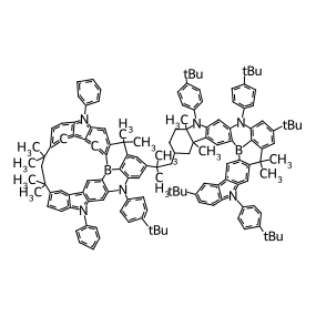 CC(C)(C)c1ccc(N2c3cc4c(cc3B3c5cc6c7cc(C(C)(C)C)ccc7n(-c7ccc(C(C)(C)C)cc7)c6cc5C(C)(C)c5cc(C(C)(C)C)cc2c53)C2(C)CC(CC(C)(C)c3cc5c6c(c3)C(C)(C)c3cc7c8cc3B6c3cc6c9cc(ccc9n(-c9ccccc9)c6cc3N5c3ccc(C(C)(C)C)cc3)C(C)(C)CC(C)(C)c3ccc(c8c3)n7-c3ccccc3)CCC2(C)N4c2ccc(C(C)(C)C)cc2)cc1